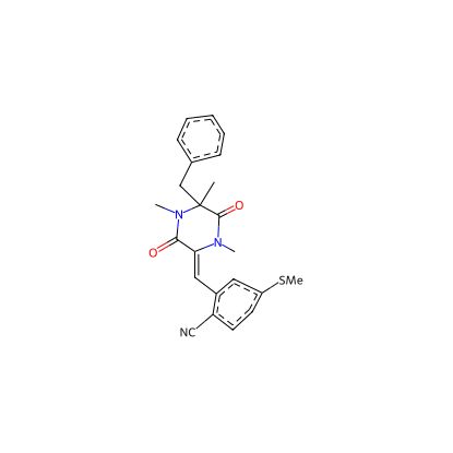 CSc1ccc(C#N)c(/C=C2/C(=O)N(C)C(C)(Cc3ccccc3)C(=O)N2C)c1